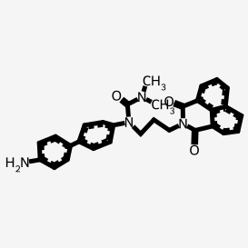 CN(C)C(=O)N(CCCN1C(=O)c2cccc3cccc(c23)C1=O)c1ccc(-c2ccc(N)cc2)cc1